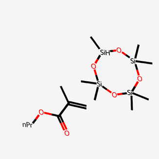 C=C(C)C(=O)OCCC.C[SiH]1O[Si](C)(C)O[Si](C)(C)O[Si](C)(C)O1